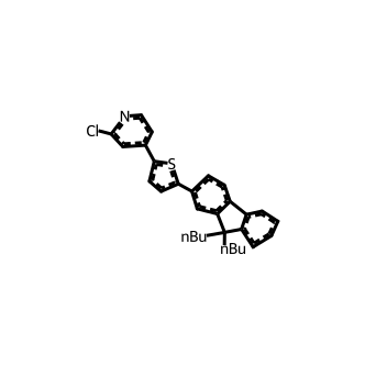 CCCCC1(CCCC)c2ccccc2-c2ccc(-c3ccc(-c4ccnc(Cl)c4)s3)cc21